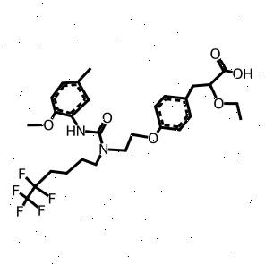 CCOC(Cc1ccc(OCCN(CCCCC(F)(F)C(F)(F)F)C(=O)Nc2cc(C)ccc2OC)cc1)C(=O)O